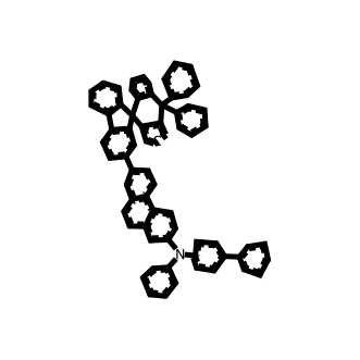 c1ccc(-c2ccc(N(c3ccccc3)c3ccc4c(ccc5cc(-c6ccc7c(c6)C6(c8ccccc8-7)c7ccccc7C(c7ccccc7)(c7ccccc7)c7ccccc76)ccc54)c3)cc2)cc1